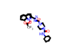 O=C(NC1CCCCC1)N1CCN(c2nc(-c3ccc4ccccc4[n+]3OC(=O)C(F)(F)F)no2)CC1